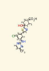 CC1C[C@](O)(c2ncc(-c3cc(Cl)cc(Nc4nccc(C(F)(F)F)n4)c3)s2)CCC1C(=O)O